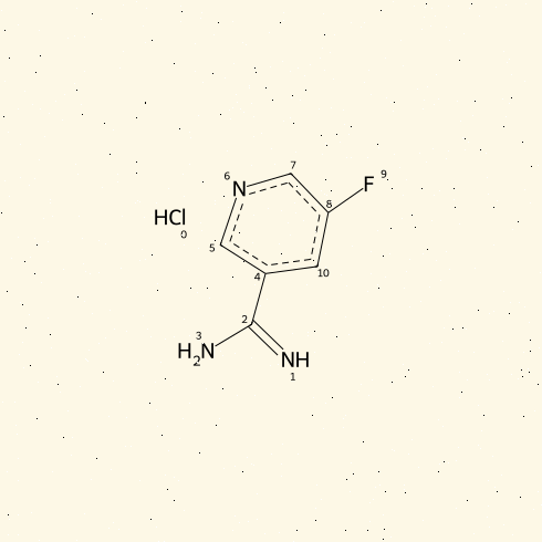 Cl.N=C(N)c1cncc(F)c1